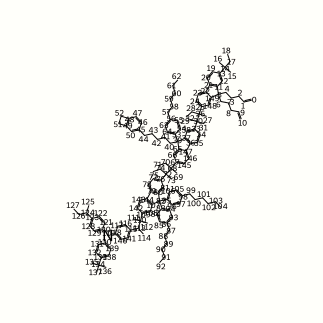 C=CCCCC1(CCCC=C)c2cc(C(C)(C)CC)ccc2-c2ccc(C(C)(CC)C(C)(C)c3ccc4c(c3)C(CCCCCc3ccc5c(c3)CC5)(c3ccc(CCCCCC)cc3)c3cc(C(C)(CC)C(C)(CC)c5ccc6c(c5)C(c5ccc(CCCCCC)cc5)(c5ccc(CCCCCC)cc5)c5cc(C(C)(C)C(C)c7ccc(N(c8ccc(C(C)CC)cc8)c8ccc(C(C)(C)C)cc8)cc7)ccc5-6)ccc3-4)cc21